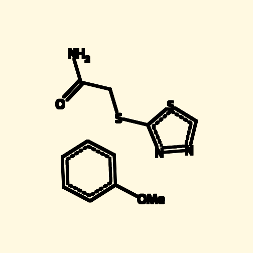 COc1ccccc1.NC(=O)CSc1nncs1